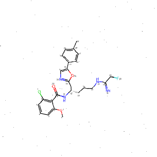 COc1cccc(Cl)c1C(=O)N[C@@H](CCCNC(=N)CF)c1ncc(-c2ccc(C)cc2)o1